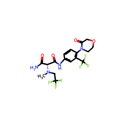 CN(CC(F)(F)F)[C@H](C(N)=O)C(=O)Nc1ccc(N2CCOCC2=O)c(C(F)(F)F)c1